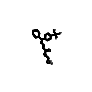 CCOC(=O)/C=C/C=C(/c1ccccc1)c1ccc(C(F)(F)F)cc1